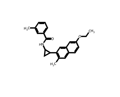 CCOc1ccc2cc(C)c(C3CC3NC(=O)c3cccc(C)c3)cc2c1